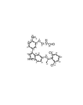 CCOc1cc(-c2n[nH]c3ccc(O[C@H](C)c4c(Cl)cncc4Cl)cc23)cnc1N.O=CO